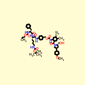 C=CCOC(=O)N[C@@H](Cc1ccccc1)C(=O)N[C@@H](CCCCNC(=O)OC(C)(C)C)C(=O)Nc1ccc(COC(=O)Nc2cc(C)c(C)cc2C(=O)N2C=C(c3ccc(OC)cc3)C[C@H]2CO)cc1